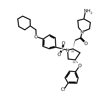 NC1CCN(C(=O)C[C@@H]2C[C@H](Oc3ccc(Cl)cc3)CN2S(=O)(=O)c2ccc(OCC3CCCCC3)cc2)CC1